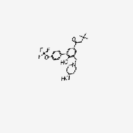 CC(C)(C)CC(=O)c1cc(CN2CCCCC2)c(O)c(-c2ccc(OC(F)(F)F)cc2)c1.Cl